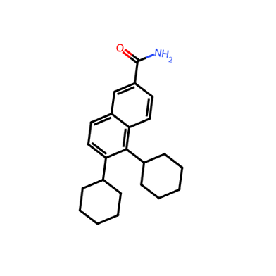 NC(=O)c1ccc2c(C3CCCCC3)c(C3CCCCC3)ccc2c1